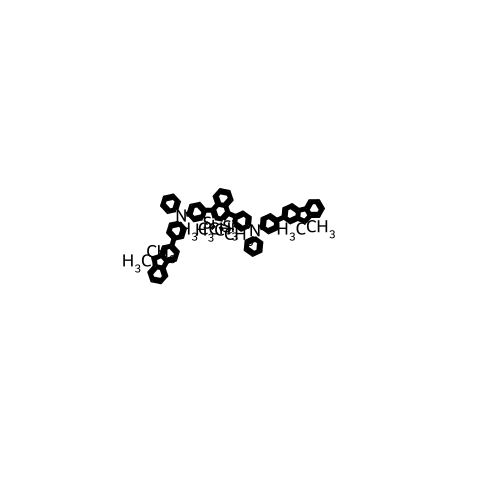 CC1(C)c2ccccc2-c2ccc(-c3ccc(N(c4ccccc4)c4ccc5c(c4)[Si](C)(C)c4c6c(c7ccccc7c4-5)-c4ccc(N(c5ccccc5)c5ccc(-c7ccc8c(c7)C(C)(C)c7ccccc7-8)cc5)cc4[Si]6(C)C)cc3)cc21